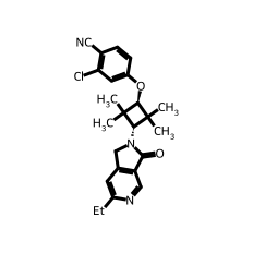 CCc1cc2c(cn1)C(=O)N([C@H]1C(C)(C)[C@H](Oc3ccc(C#N)c(Cl)c3)C1(C)C)C2